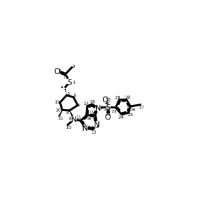 CC(=O)SC[C@@H]1CC[C@@H](N(C)c2ncnc3c2ccn3S(=O)(=O)c2ccc(C)cc2)[C@@H](C)C1